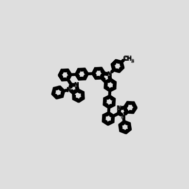 Cc1ccc(-n2c3ccc(-c4ccc(-c5ccccc5-c5nc6ccccc6n5-c5ccccc5)cc4)cc3c3cc(-c4ccc(-c5ccccc5-c5nc6ccccc6n5-c5ccccc5)cc4)ccc32)cc1